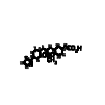 CS(=O)(=O)N(Cc1ccc(-c2nccs2)cc1)Cc1cccc(CC(=O)O)c1